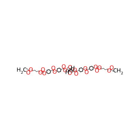 C=CC(=O)OCCCCOC(=O)Oc1ccc(C(=O)Oc2ccc(C(=O)OC3CO[C@H]4[C@@H]3OC[C@H]4OC(=O)c3ccc(OC(=O)c4ccc(OC(=O)OCCCCOC(=O)C=C)cc4)cc3)cc2)cc1